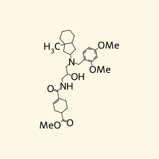 COC(=O)C1CC=C(C(=O)NCC(O)CN(Cc2ccc(OC)cc2OC)C2CC3CCCCC3(C)C2)CC1